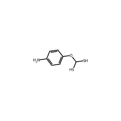 Nc1ccc(OC(S)S)cc1